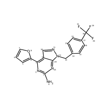 Nc1nc(-c2ccco2)c2cnn(Cc3ccc(C(F)(F)F)cc3)c2n1